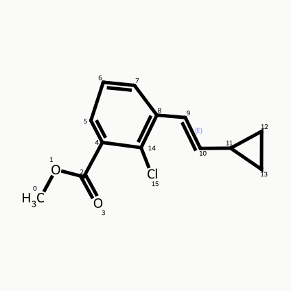 COC(=O)c1cccc(/C=C/C2CC2)c1Cl